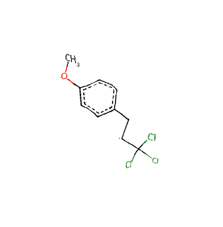 COc1ccc(C[CH]C(Cl)(Cl)Cl)cc1